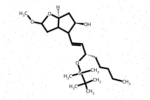 CCCCC[C@@H](/C=C/C1C2CC(OC)O[C@H]2C[C@H]1O)O[Si](C)(C)C(C)(C)C